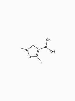 CC1=C(B(O)O)CN(C)O1